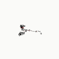 CCCCCCCCC[C@H]1CC[C@H](CCC2CCC(c3ccc(Oc4ccc([N+](=O)[O-])cc4)cc3)(c3ccc(Oc4ccc([N+](=O)[O-])cc4)cc3)CC2)CC1